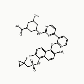 Cc1ccc2c(NS(=O)(=O)CC3(F)CC3)c(F)ccc2c1Oc1ncccc1-c1ccnc(NC2CC(C)CN(C(=O)O)C2)n1